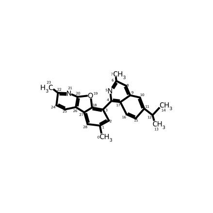 Cc1cc(-c2nc(C)cc3cc(C(C)C)ccc23)c2oc3nc(C)ccc3c2c1